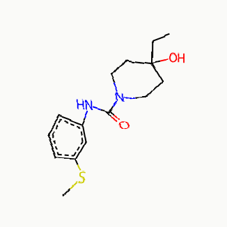 CCC1(O)CCN(C(=O)Nc2cccc(SC)c2)CC1